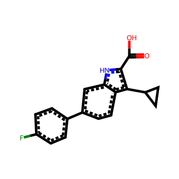 O=C(O)c1[nH]c2cc(-c3ccc(F)cc3)ccc2c1C1CC1